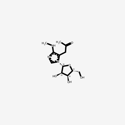 CNc1ncn([C@@H]2O[C@H](CO)[C@@H](O)[C@H]2O)c1CC(C)=O